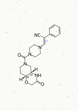 N#C/C(=C\N1CCN(C(=O)N2CC[C@H]3OCC(=O)N[C@H]3C2)CC1)c1ccccc1